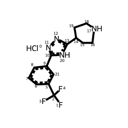 Cl.FC(F)(F)c1cccc(-c2nnc(C3CCNCC3)[nH]2)c1